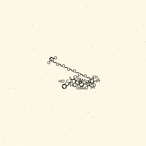 CC[C@H](C)[C@@H]([C@@H](CC(=O)N1CCC[C@H]1[C@H](OC)[C@@H](C)C(=S)N[C@@H](Cc1ccccc1)C(=O)O)OC)N(C)C(=O)[C@@H](NC(=O)[C@H](C(C)C)N(C)C(=O)CCOCCOCCOCCOCCOCCOCCN1C(=O)C=CC1=O)C(C)C